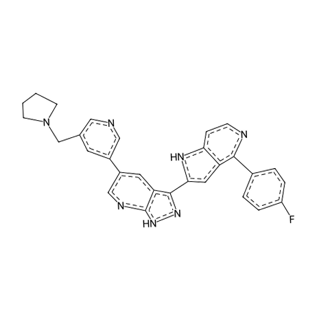 Fc1ccc(-c2nccc3[nH]c(-c4n[nH]c5ncc(-c6cncc(CN7CCCC7)c6)cc45)cc23)cc1